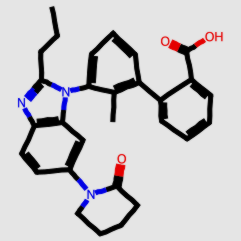 CCCc1nc2ccc(N3CCCCC3=O)cc2n1-c1cccc(-c2ccccc2C(=O)O)c1C